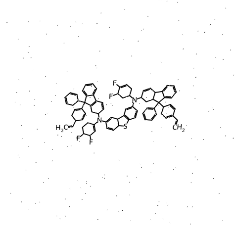 C=CC1=CCC(C2(c3ccccc3)c3ccccc3C3C=CC(N(c4ccc5c(c4)C4C=C(N(C6=CC(F)C(F)CC6)C6C=CC7=C(C6)C(C6=CCC(C=C)C=C6)(C6C=CC=CC6)c6ccccc67)C=CC4S5)C4CC=C(F)C(F)C4)CC32)C=C1